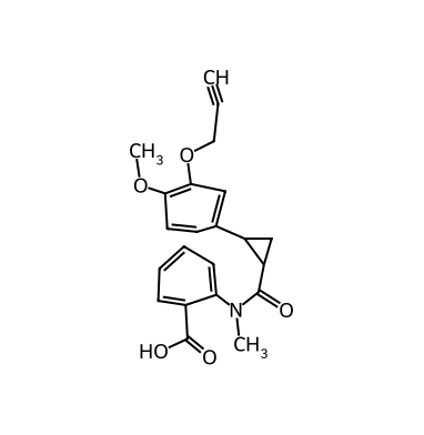 C#CCOc1cc(C2CC2C(=O)N(C)c2ccccc2C(=O)O)ccc1OC